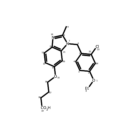 CCOc1ccc(Cn2c(C)nc3ccc(OCCCC(=O)O)cc32)c(Cl)c1